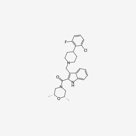 C[C@@H]1CN(C(=O)c2[nH]c3ccccc3c2CN2CCC(c3c(F)cccc3Cl)CC2)C[C@H](C)O1